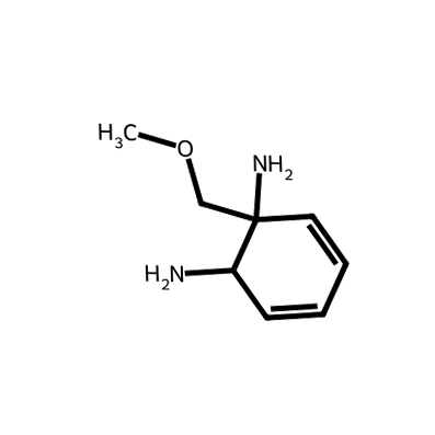 COCC1(N)C=CC=CC1N